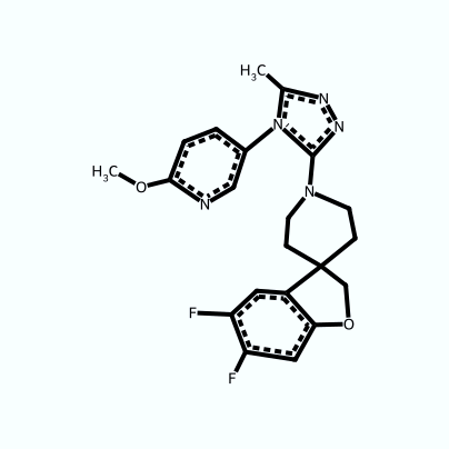 COc1ccc(-n2c(C)nnc2N2CCC3(CC2)COc2cc(F)c(F)cc23)cn1